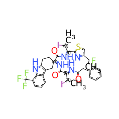 CCc1csc([C@@H](NC(=O)[C@@]2(NC(=O)[C@@H](NC(=O)Cc3ccccc3F)[C@@H](C)I)CCc3[nH]c4c(C(F)(F)F)cccc4c3C2)[C@@H](C)I)n1